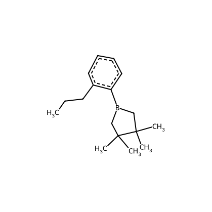 CCCc1ccccc1B1CC(C)(C)C(C)(C)C1